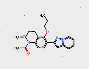 CCCOc1c(-c2cc3ccccn3n2)ccc2c1CC[C@H](C)N2C(C)=O